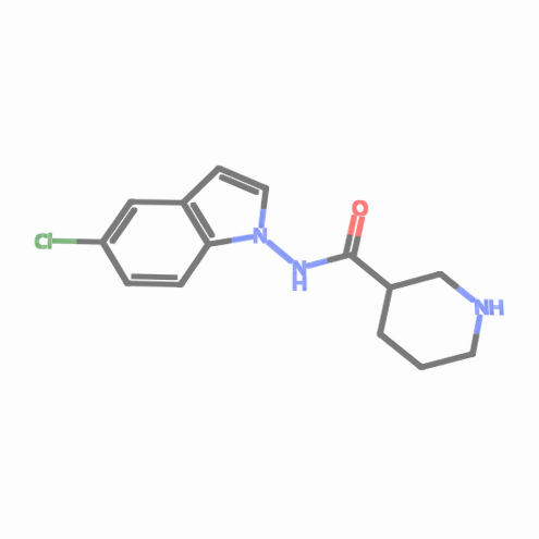 O=C(Nn1ccc2cc(Cl)ccc21)C1CCCNC1